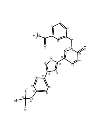 NC(=O)c1cccc(Cn2nc(-c3nc(-c4ccc(OC(F)(F)F)cc4)no3)ccc2=O)c1